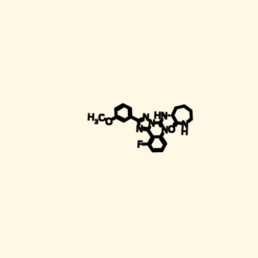 COc1cccc(-c2nc3c4c(F)cccc4nc(N[C@@H]4CCCCNC4=O)n3n2)c1